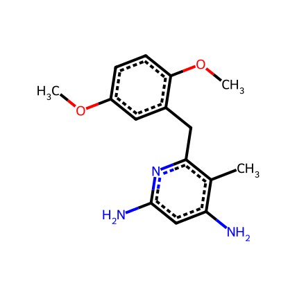 COc1ccc(OC)c(Cc2nc(N)cc(N)c2C)c1